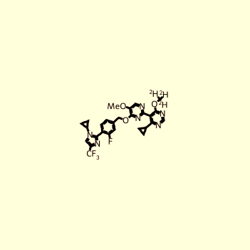 [2H]C([2H])([2H])Oc1ncnc(C2CC2)c1-c1ncc(OC)c(OCc2ccc(-c3nc(C(F)(F)F)cn3C3CC3)c(F)c2)n1